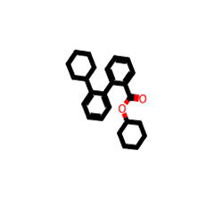 O=C(OC1CCCCC1)c1ccccc1-c1ccccc1C1CCCCC1